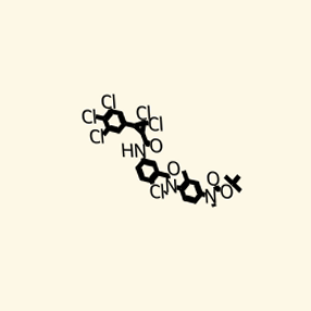 Cc1cc(N(C)C(=O)OC(C)(C)C)ccc1N(C)C(=O)c1cc(NC(=O)C2C(c3cc(Cl)c(Cl)c(Cl)c3)C2(Cl)Cl)ccc1Cl